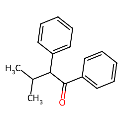 CC(C)C(C(=O)c1ccccc1)c1ccccc1